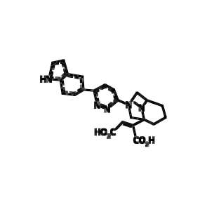 CN1C2CCCC1(C(=CC(=O)O)C(=O)O)CN(c1ccc(-c3ccc4[nH]ccc4c3)nn1)C2